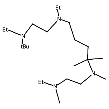 CCN(C)CCN(C)C(C)(C)CCCN(CC)CCN(CC)C(C)(C)C